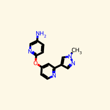 Cn1cc(-c2cc(Oc3ccc(N)cn3)ccn2)cn1